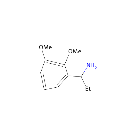 CCC(N)c1cccc(OC)c1OC